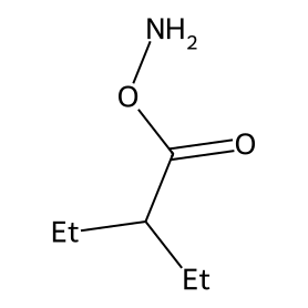 CCC(CC)C(=O)ON